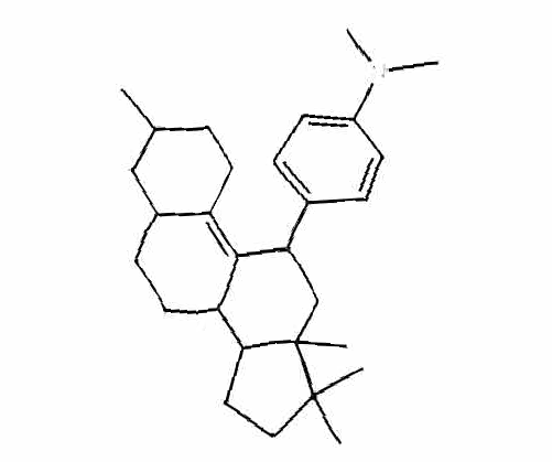 CC1CCC2=C3C(c4ccc(N(C)C)cc4)CC4(C)C(CCC4(C)C)C3CCC2C1